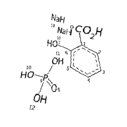 O=C(O)c1ccccc1O.O=P(O)(O)O.[NaH].[NaH]